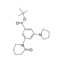 CC(C)(C)OC(=O)c1cc(N2CCCC2)cc(N2CCCCC2=O)c1